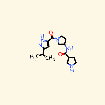 CC(C)c1cc(C(=O)N2CCC(NC(=O)C3CCNC3)C2)[nH]n1